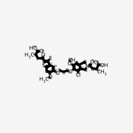 COc1cc2sc(C(=O)C[C@H](C)C(=O)O)c(F)c2cc1OCCCOc1c(OC)cc2c(c1Cl)CN(C(=O)C[C@H](C)C(=O)O)C2